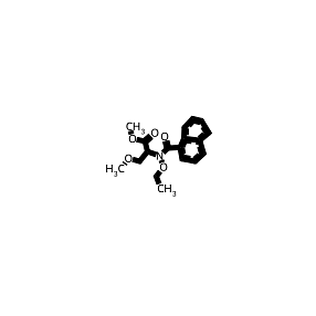 CCON(C(=O)c1cccc2ccccc12)C(COC)C(=O)OC